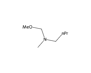 CCCCN(C)COC